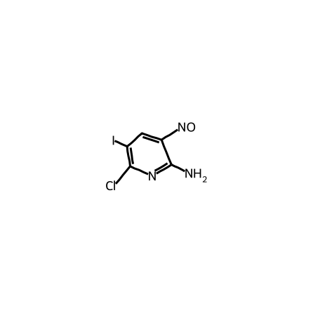 Nc1nc(Cl)c(I)cc1N=O